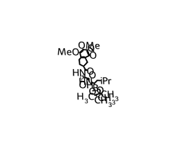 COc1c2c(c3c(c1OC)OCO3)CC(C(=O)N[C@@H](CO)C(=O)NC(CC(C)C)B1OC(C)(C)C(C)(C)O1)CC2